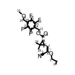 CCCO/C(C#N)=C/[C@@H]1[C@@H](C(=O)OCc2c(F)c(F)c(COC)c(F)c2F)C1(C)C